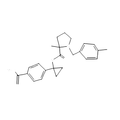 COC(=O)c1ccc(C2(NC(=O)C3(C)CCCN3Cc3ccc(C(F)(F)F)cc3)CC2)cc1